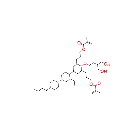 C=C(C)C(=O)OCCCC1CC(C2CCC(C3CCC(CCCC)CC3)CC2CC)CC(CCCOC(=O)C(=C)C)C1OCCC(CO)CO